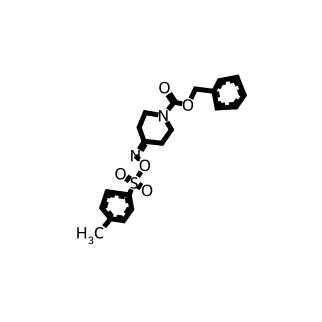 Cc1ccc(S(=O)(=O)ON=C2CCN(C(=O)OCc3ccccc3)CC2)cc1